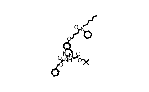 CCCCCCN(C(=O)CCCOc1ccc2c(c1)CN(CC(=O)OCC(C)(C)C)C(NC(=O)OCc1ccccc1)=N2)C1CCCCC1